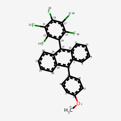 COc1ccc(-c2c3ccccc3c(-c3c(F)c(F)c(F)c(F)c3F)c3ccccc23)cc1